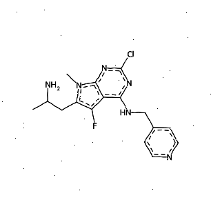 CC(N)Cc1c(F)c2c(NCc3ccncc3)nc(Cl)nc2n1C